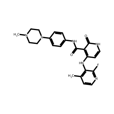 Cc1ccnc(F)c1Nc1cc[nH]c(=O)c1C(=O)Nc1ccc(N2CCN(C)CC2)cc1